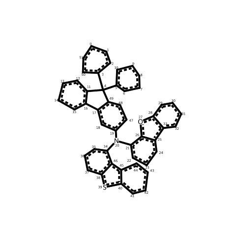 c1ccc(C2(c3ccccc3)c3ccccc3-c3cc(N(c4cccc5c4oc4ccccc45)c4cccc5sc6ccccc6c45)ccc32)cc1